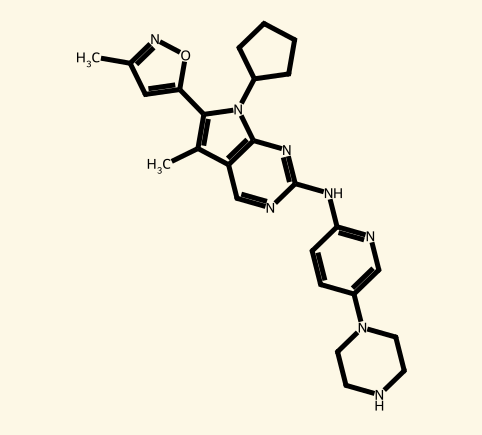 Cc1cc(-c2c(C)c3cnc(Nc4ccc(N5CCNCC5)cn4)nc3n2C2CCCC2)on1